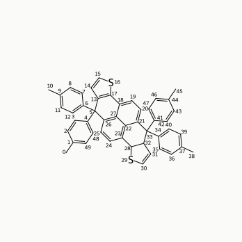 Cc1ccc(C2(c3ccc(C)cc3)c3ccsc3-c3ccc4c5c(ccc2c35)C2SC=CC2C4(c2ccc(C)cc2)c2ccc(C)cc2)cc1